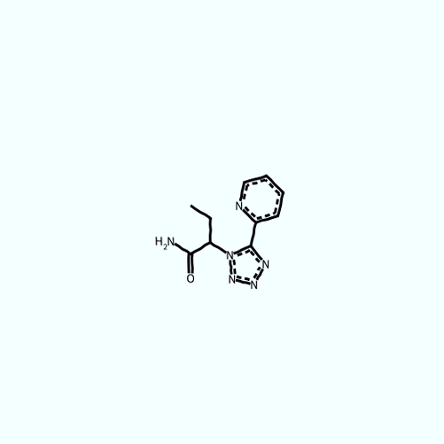 CCC(C(N)=O)n1nnnc1-c1ccccn1